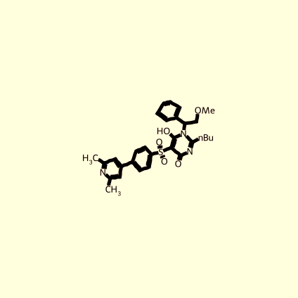 CCCCc1nc(=O)c(S(=O)(=O)c2ccc(-c3cc(C)nc(C)c3)cc2)c(O)n1C(COC)c1ccccc1